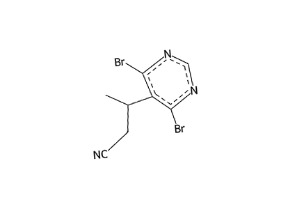 CC(CC#N)c1c(Br)ncnc1Br